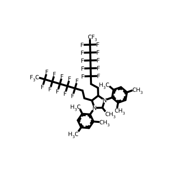 Cc1cc(C)c(N2C(CCC(F)(F)C(F)(F)C(F)(F)C(F)(F)C(F)(F)C(F)(F)F)C(CCC(F)(F)C(F)(F)C(F)(F)C(F)(F)C(F)(F)C(F)(F)F)N(c3c(C)cc(C)cc3C)C2C)c(C)c1